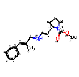 C/C(=C\c1ccccc1)CNCC[C@H]1CCCN1C(=O)OC(C)(C)C